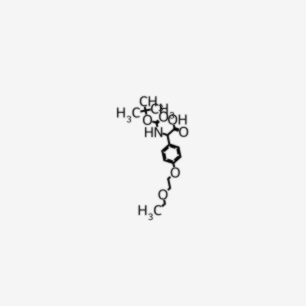 CCOCCOc1ccc(C(NC(=O)OC(C)(C)C)C(=O)O)cc1